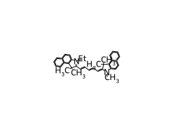 CC[N+]1=C(/C=C/C=C/C=C2/N(C)c3ccc4ccccc4c3C2(C)C)C(C)(C)c2c1ccc1ccccc21